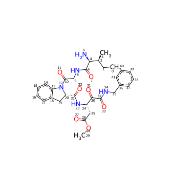 CC[C@H](C)[C@H](N)C(=O)NCC(=O)N1c2ccccc2C[C@H]1C(=O)N[C@@H](CC(=O)OC)C(=O)C(=O)NCc1ccccc1